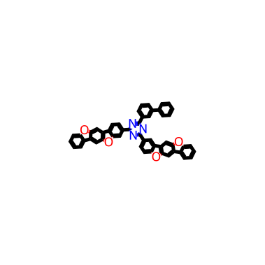 c1ccc(-c2cccc(-c3nc(-c4ccc5c(c4)oc4cc6c(cc45)oc4ccccc46)nc(-c4ccc5oc6cc7c(cc6c5c4)oc4ccccc47)n3)c2)cc1